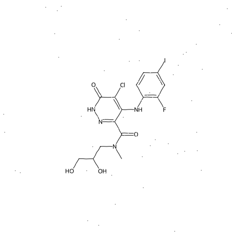 CN(CC(O)CO)C(=O)c1n[nH]c(=O)c(Cl)c1Nc1ccc(I)cc1F